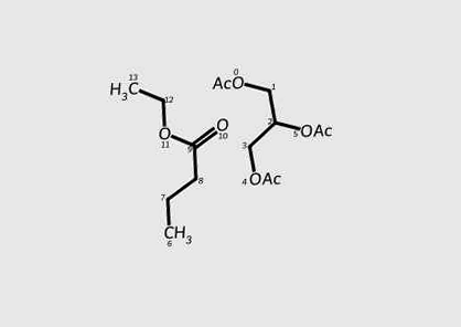 CC(=O)OCC(COC(C)=O)OC(C)=O.CCCC(=O)OCC